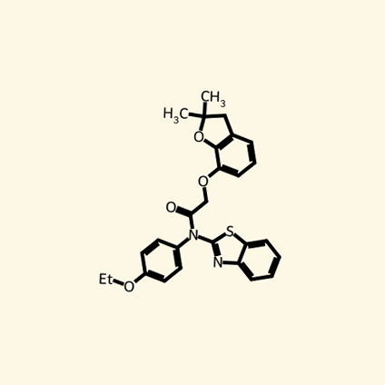 CCOc1ccc(N(C(=O)COc2cccc3c2OC(C)(C)C3)c2nc3ccccc3s2)cc1